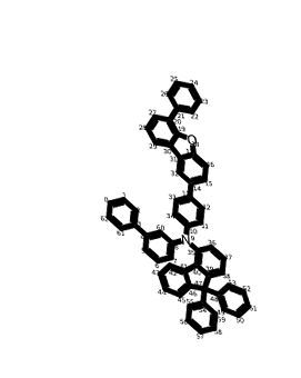 c1ccc(-c2cccc(N(c3ccc(-c4ccc5oc6c(-c7ccccc7)cccc6c5c4)cc3)c3cccc4c3-c3ccccc3C4(c3ccccc3)c3ccccc3)c2)cc1